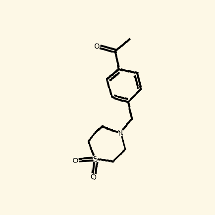 CC(=O)c1ccc(CN2CCS(=O)(=O)CC2)cc1